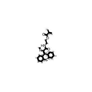 C=NC(C(=O)NCCOC(=O)C(=C)C)=C1c2ccccc2Sc2ccccc21